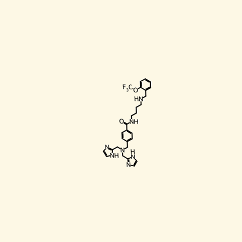 O=C(NCCCCNCc1ccccc1OC(F)(F)F)c1ccc(CN(Cc2ncc[nH]2)Cc2ncc[nH]2)cc1